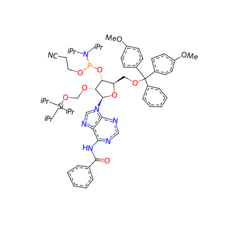 COc1ccc(C(OC[C@H]2O[C@@H](n3cnc4c(NC(=O)c5ccccc5)ncnc43)[C@H](OCO[Si](C(C)C)(C(C)C)C(C)C)[C@@H]2OP(OCCC#N)N(C(C)C)C(C)C)(c2ccccc2)c2ccc(OC)cc2)cc1